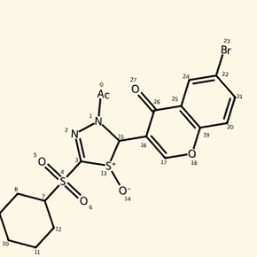 CC(=O)N1N=C(S(=O)(=O)C2CCCCC2)[S+]([O-])C1c1coc2ccc(Br)cc2c1=O